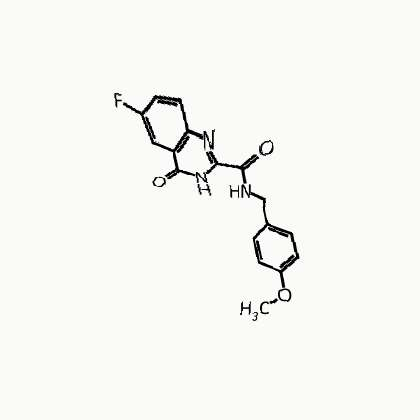 COc1ccc(CNC(=O)c2nc3ccc(F)cc3c(=O)[nH]2)cc1